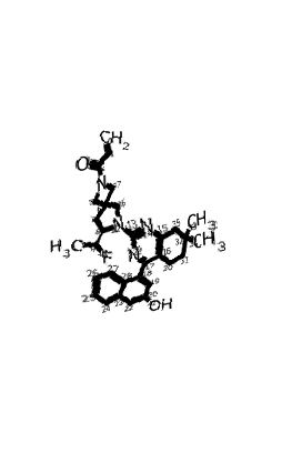 C=CC(=O)N1CC2(C[C@H](C(C)F)N(c3nc4c(c(-c5cc(O)cc6ccccc56)n3)CCC(C)(C)C4)C2)C1